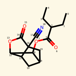 CCC(CC)C(=O)OC1C2CC3C1OC(=O)C3(C#N)C2